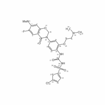 CNc1cc2c(cc1F)C(=O)N(c1ccc(NC(=O)NS(=O)(=O)c3ccc(Cl)s3)c(OCCN(C)C)c1)CO2